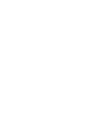 CCCCOC(=O)/C=C\C(=O)OC(C)CCOC(=O)CCCCC(=O)OCCCC